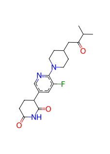 CC(C)C(=O)CC1CCN(c2ncc(C3CCC(=O)NC3=O)cc2F)CC1